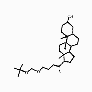 C[C@H](CCCOCOC(C)(C)C)C1CCC2C3CCC4CC(O)CCC4(C)[C@H]3CCC21C